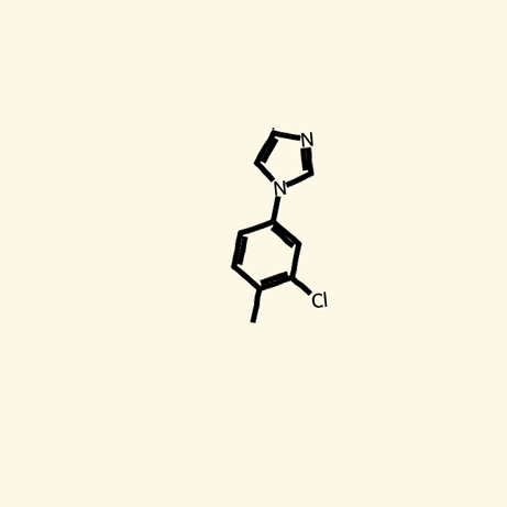 Cc1ccc(-n2c[c]nc2)cc1Cl